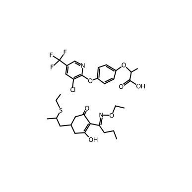 CC(Oc1ccc(Oc2ncc(C(F)(F)F)cc2Cl)cc1)C(=O)O.CCCC(=NOCC)C1=C(O)CC(CC(C)SCC)CC1=O